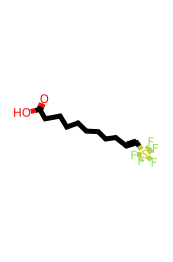 O=C(O)CCCCCCCCC=CS(F)(F)(F)(F)F